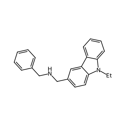 CCn1c2ccccc2c2cc(CNCc3ccccc3)ccc21